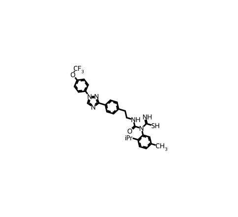 Cc1ccc(C(C)C)c(N(C(=N)S)C(=O)NCCc2ccc(-c3ncn(-c4ccc(OC(F)(F)F)cc4)n3)cc2)c1